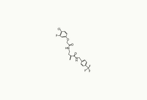 C=C(CCNC(=O)COc1ccc(Cl)c(F)c1)C(=O)NCc1ccc(C(F)(F)F)cc1